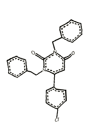 O=c1cc(-c2ccc(Cl)cc2)n(Cc2ccccc2)c(=O)n1Cc1ccccc1